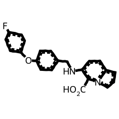 O=C(O)c1c(NCc2ccc(Oc3ccc(F)cc3)cc2)ccc2cccn12